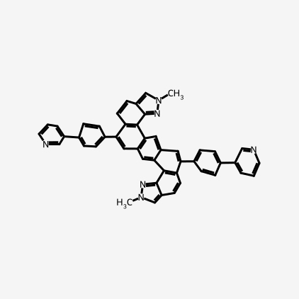 Cn1cc2ccc3c(-c4ccc(-c5cccnc5)cc4)cc4cc5c(cc(-c6ccc(-c7cccnc7)cc6)c6ccc7cn(C)nc7c65)cc4c3c2n1